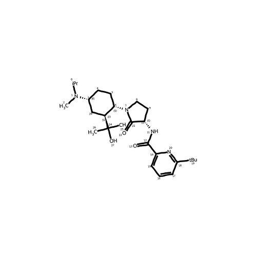 CC(C)N(C)[C@@H]1CC[C@H](N2CC[C@H](NC(=O)c3cccc(C(C)(C)C)n3)C2=O)[C@@H](C(C)(C)O)C1